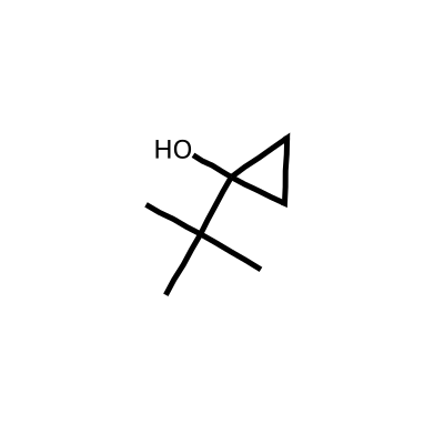 CC(C)(C)C1(O)CC1